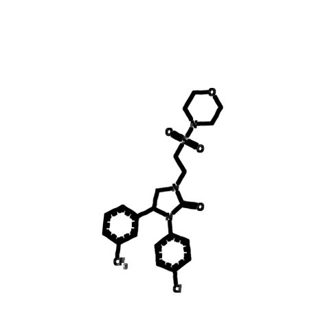 O=C1N(CCS(=O)(=O)N2CCOCC2)CC(c2cccc(C(F)(F)F)c2)N1c1ccc(Cl)cc1